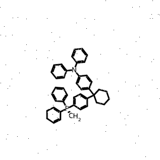 C=P(C1=CCCC=C1)(c1ccccc1)c1ccc(C2(c3ccc(N(c4ccccc4)c4ccccc4)cc3)CCCCC2)cc1